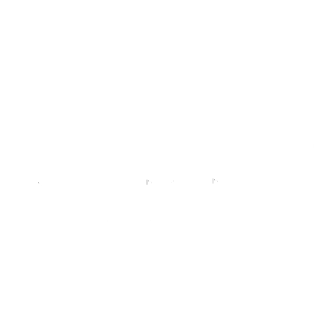 CC(C)(C)NCc1ccc2c(c1)CCCC2NC(=O)CC(NS(=O)(=O)c1cccc(C(F)(F)F)c1)c1ccc(Cl)cc1